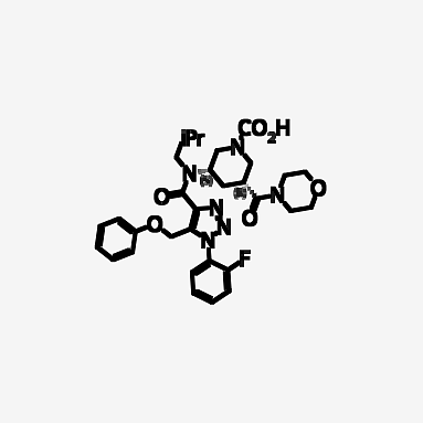 CC(C)CN(C(=O)c1nnn(-c2ccccc2F)c1COc1ccccc1)[C@H]1C[C@@H](C(=O)N2CCOCC2)CN(C(=O)O)C1